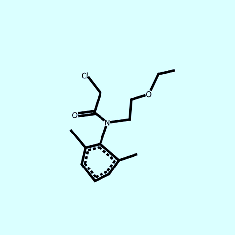 CCOCCN(C(=O)CCl)c1c(C)cccc1C